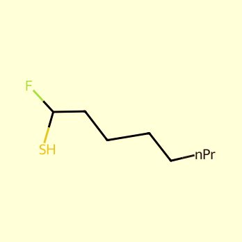 CCCCCCCC(F)S